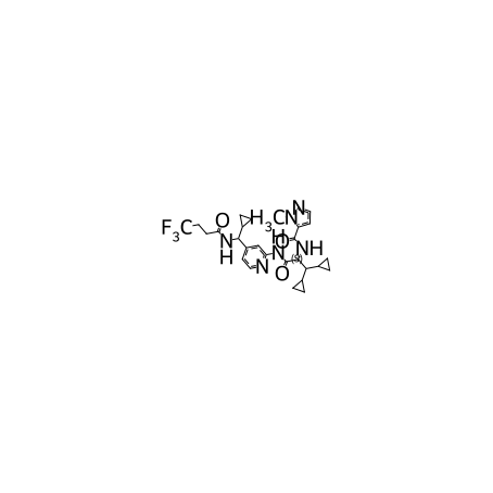 Cn1nccc1C(=O)N[C@H](C(=O)Nc1cc(C(NC(=O)CCC(F)(F)F)C2CC2)ccn1)C(C1CC1)C1CC1